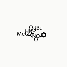 COCC1CN(C(=O)OCc2ccccc2)CC1NC(=O)OC(C)(C)C